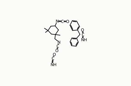 CC1(C)CC(N=C=O)CC(C)(CN=C=O)C1.N=C=O.N=C=O.c1ccc(Cc2ccccc2)cc1